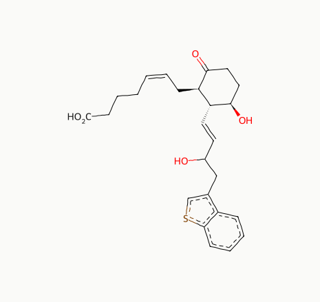 O=C(O)CCC/C=C\C[C@H]1C(=O)CC[C@@H](O)[C@@H]1/C=C/C(O)Cc1csc2ccccc12